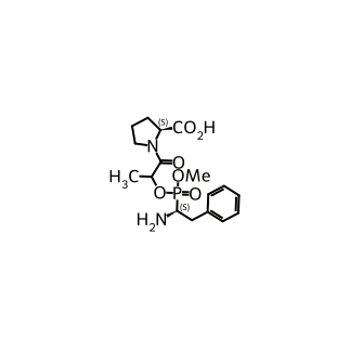 COP(=O)(OC(C)C(=O)N1CCC[C@H]1C(=O)O)[C@H](N)Cc1ccccc1